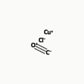 [C-]#[O+].[Cl-].[Cu+]